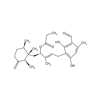 CCC(=O)O[C@H](C[C@@]1(C)[C@H](C)CCC(=O)[C@@H]1C)/C(C)=C/Cc1c(O)cc(C)c(C=O)c1O